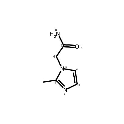 Cc1n[c]cn1CC(N)=O